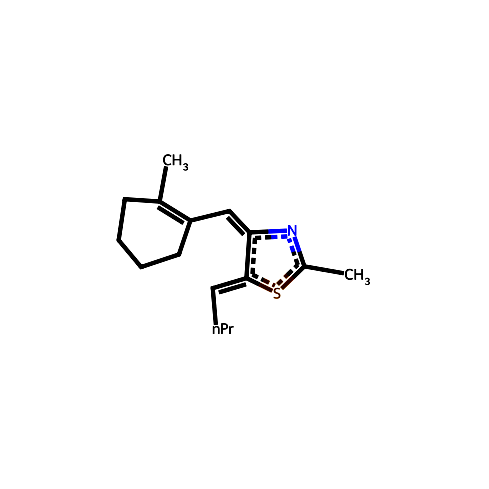 CCC/C=c1\sc(C)n\c1=C\C1=C(C)CCCC1